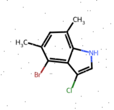 Cc1cc(C)c2[nH]cc(Cl)c2c1Br